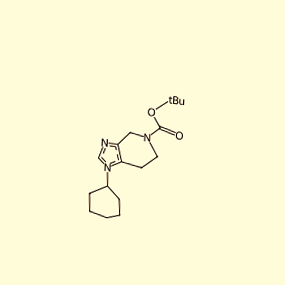 CC(C)(C)OC(=O)N1CCc2c(ncn2C2CCCCC2)C1